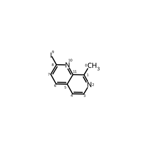 Cc1nccc2ccc(I)nc12